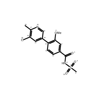 COc1cc(C(=O)NS(C)(=O)=O)ccc1-c1cnc(C)c(Cl)c1